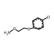 NOCCOc1ccc(Cl)cc1